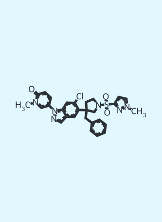 Cn1ccc(S(=O)(=O)N2CCC(Cc3ccccc3)(c3cc4cnn(-c5ccc(=O)n(C)c5)c4cc3Cl)C2)n1